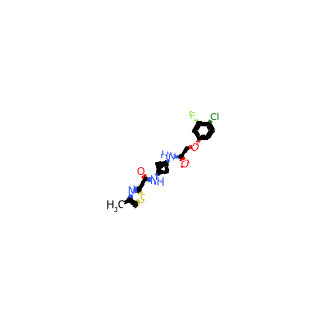 Cc1csc(C(=O)NC23CC(NC(=O)COc4ccc(Cl)c(F)c4)(C2)C3)n1